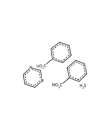 O=C(O)c1ccccc1.O=C(O)c1ccccc1.S.c1cncnc1